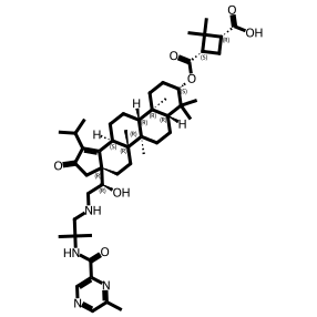 Cc1cncc(C(=O)NC(C)(C)CNC[C@H](O)[C@@]23CC[C@]4(C)[C@H](CC[C@@H]5[C@@]6(C)CC[C@H](OC(=O)[C@H]7C[C@@H](C(=O)O)C7(C)C)C(C)(C)[C@@H]6CC[C@]54C)C2=C(C(C)C)C(=O)C3)n1